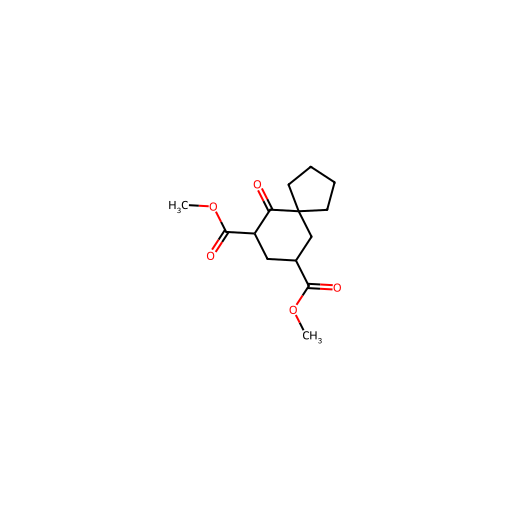 COC(=O)C1CC(C(=O)OC)C(=O)C2(CCCC2)C1